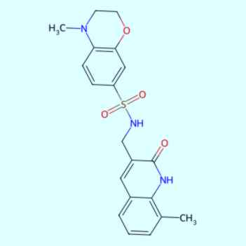 Cc1cccc2cc(CNS(=O)(=O)c3ccc4c(c3)OCCN4C)c(=O)[nH]c12